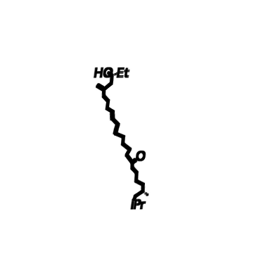 C=C(CCC/C=C/C=C/CCCCC(=O)CCCC[C@H](C)CC(C)C)C[C@H](O)CC